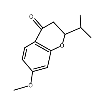 COc1ccc2c(c1)OC(C(C)C)CC2=O